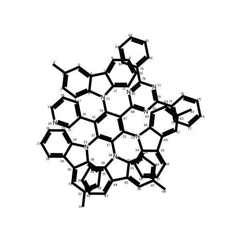 Cc1ccc2c(c1)c1ccccc1n2-c1c(-c2cccnc2)c(-n2c3ccccc3c3cc(C)ccc32)c(-n2c3ccccc3c3cc(C)ccc32)c(-n2c3ccccc3c3cc(C)ccc32)c1-c1nc(-c2ccccc2)nc(-c2ccccc2)n1